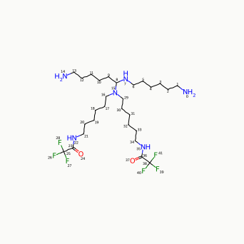 NCCCCCCNC(CCCCCN)N(CCCCCCNC(=O)C(F)(F)F)CCCCCCNC(=O)C(F)(F)F